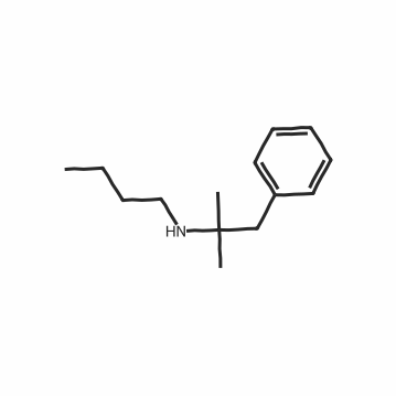 CCCCNC(C)(C)Cc1ccccc1